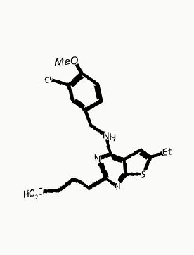 CCc1cc2c(NCc3ccc(OC)c(Cl)c3)nc(CCCC(=O)O)nc2s1